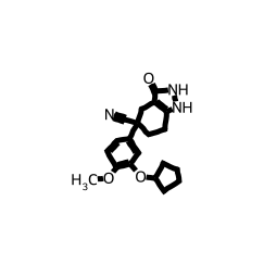 COc1ccc(C2(C#N)CCc3[nH][nH]c(=O)c3C2)cc1OC1CCCC1